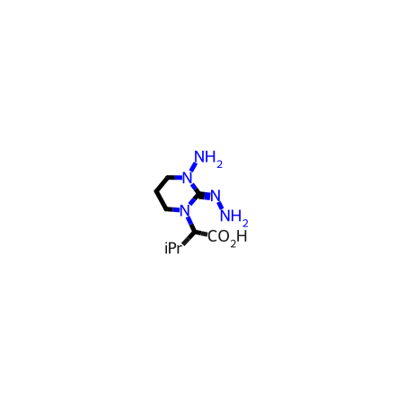 CC(C)C(C(=O)O)N1CCCN(N)C1=NN